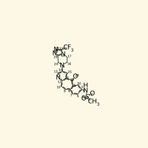 CS(=O)(=O)Nc1ccc2ccc3ncc(N4CCn5c(nnc5C(F)(F)F)C4)cc3c(=O)c2c1